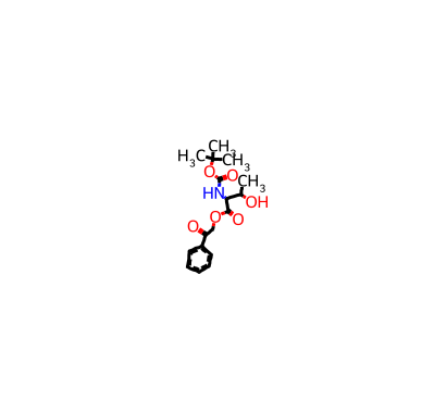 CC(O)C(NC(=O)OC(C)(C)C)C(=O)OCC(=O)c1ccccc1